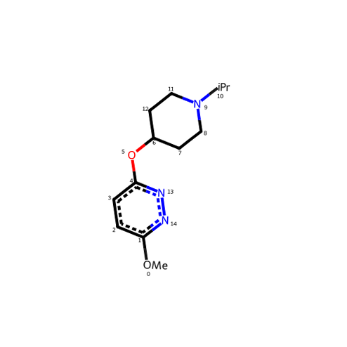 COc1ccc(OC2CCN(C(C)C)CC2)nn1